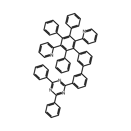 c1ccc(-c2nc(-c3ccccc3)nc(-c3cccc(-c4cccc(-c5c(-c6ccccc6)c(-c6ccccn6)c(-c6ccccc6)c(-c6ccccc6)c5-c5ccccn5)c4)c3)n2)cc1